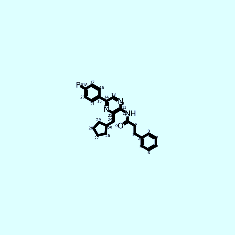 O=C(CCc1ccccc1)Nc1ncc(-c2ccc(F)cc2)nc1CC1CCCC1